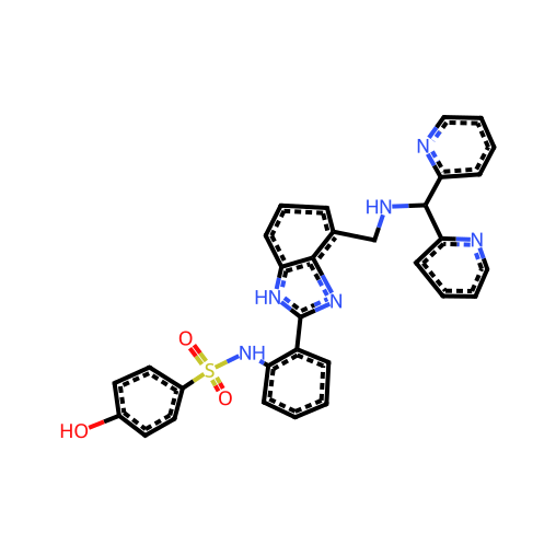 O=S(=O)(Nc1ccccc1-c1nc2c(CNC(c3ccccn3)c3ccccn3)cccc2[nH]1)c1ccc(O)cc1